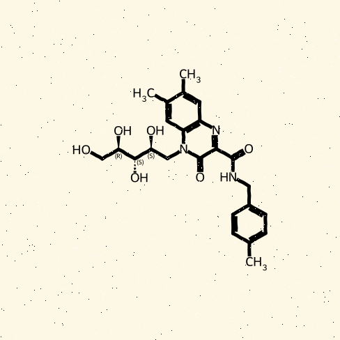 Cc1ccc(CNC(=O)c2nc3cc(C)c(C)cc3n(C[C@H](O)[C@H](O)[C@H](O)CO)c2=O)cc1